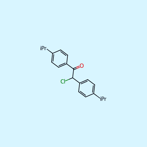 CC(C)c1ccc(C(=O)C(Cl)c2ccc(C(C)C)cc2)cc1